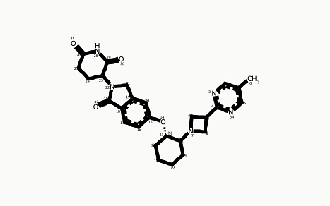 Cc1cnc(C2CN(C3CCCC[C@@H]3Oc3ccc4c(c3)CN(C3CCC(=O)NC3=O)C4=O)C2)nc1